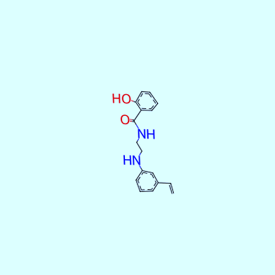 C=Cc1cccc(NCCNC(=O)c2ccccc2O)c1